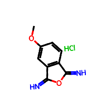 COc1ccc2c(c1)C(=N)OC2=N.Cl